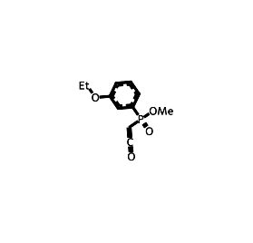 CCOc1cccc(P(=O)(C=C=O)OC)c1